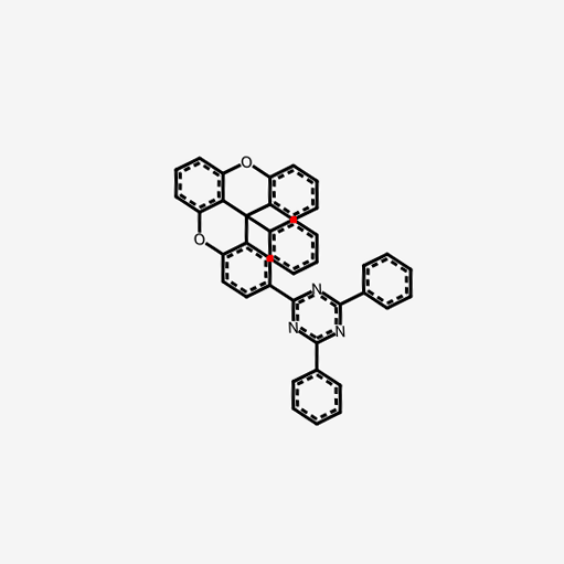 c1ccc(-c2nc(-c3ccccc3)nc(-c3ccc4c(c3)C3(c5ccccc5)c5ccccc5Oc5cccc(c53)O4)n2)cc1